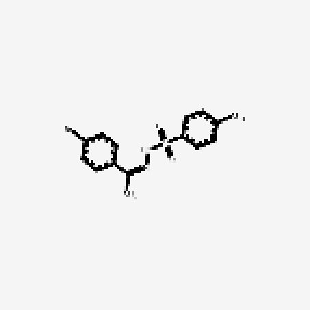 CC(=NNS(=O)(=O)c1ccc(C)cc1)c1ccc(Br)cc1